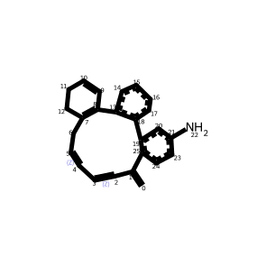 C=C1/C=C\C=C/CC2=C(C=CCC2)c2ccccc2-c2cc(N)ccc21